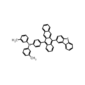 Cc1cccc(N(c2ccc(-c3c4ccccc4c(-c4ccc5sc6ccccc6c5c4)c4cc5ccccc5cc34)cc2)c2cccc(C)c2)c1